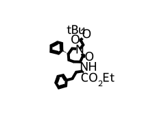 CCOC(=O)[C@H](CCc1ccccc1)N[C@H]1CC[C@H](c2ccccc2)CN(CC(=O)OC(C)(C)C)C1=O